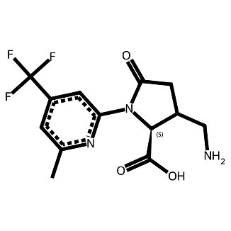 Cc1cc(C(F)(F)F)cc(N2C(=O)CC(CN)[C@H]2C(=O)O)n1